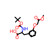 COC(=O)COc1cccc(CC(NC(=O)OC(C)(C)C)C(=O)O)c1